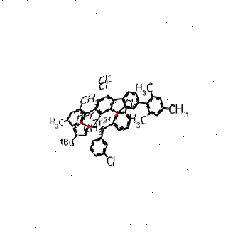 CCCC1C=C(C(C)(C)C)C=[C]1[Zr+2](=[C](c1cccc(Cl)c1)c1cccc(Cl)c1)[c]1c(-c2c(C)cc(C)cc2C)ccc2c1Cc1cc(-c3c(C)cc(C)cc3C)ccc1-2.[Cl-].[Cl-]